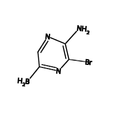 Bc1cnc(N)c(Br)n1